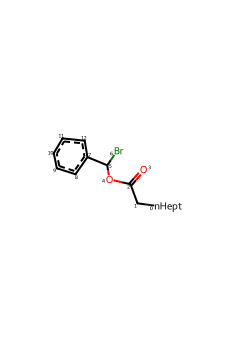 CCCCCCCCC(=O)OC(Br)c1ccccc1